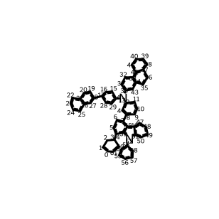 C1=CCC(c2ccc(-c3cccc(N(c4ccc(-c5ccc6ccccc6c5)cc4)c4ccc5c(ccc6ccccc65)c4)c3)c3c4ccccc4n(-c4ccccc4)c23)C=C1